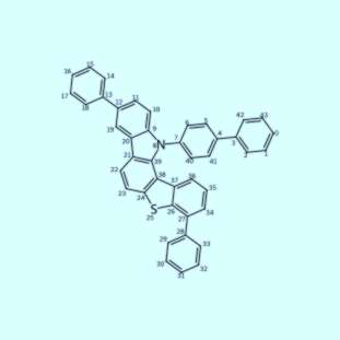 c1ccc(-c2ccc(-n3c4ccc(-c5ccccc5)cc4c4ccc5sc6c(-c7ccccc7)cccc6c5c43)cc2)cc1